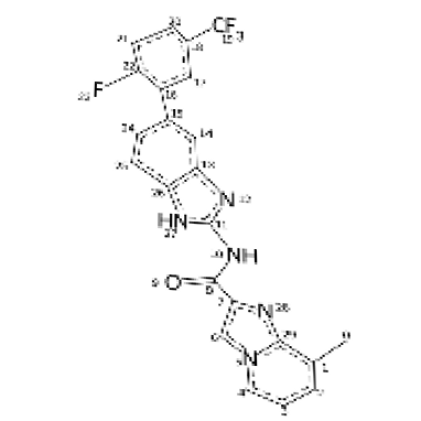 Cc1cccn2cc(C(=O)Nc3nc4cc(-c5cc(C(F)(F)F)ccc5F)ccc4[nH]3)nc12